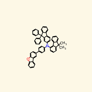 CC1(C)c2ccccc2-c2c(N(c3ccc(-c4ccc5oc6ccccc6c5c4)cc3)c3ccc4c(c3)C(c3ccccc3)(c3ccccc3)c3ccccc3-4)cccc21